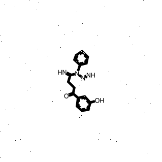 N=NN(C(=N)CCC(=O)c1cccc(O)c1)c1ccccc1